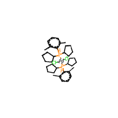 Cc1cccc(C)c1[PH](C1CCCC1)(C1CCCC1)[Pd]([Cl])([Cl])[PH](c1c(C)cccc1C)(C1CCCC1)C1CCCC1